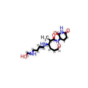 CC1C(=O)N(C2CCC(=O)NC2=O)OCCCC1N/C=C/CCNCO